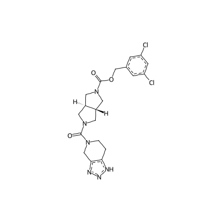 O=C(OCc1cc(Cl)cc(Cl)c1)N1C[C@@H]2CN(C(=O)N3CCc4[nH]nnc4C3)C[C@H]2C1